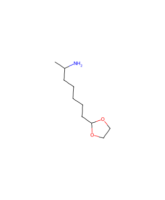 CC(N)CCCCCC1OCCO1